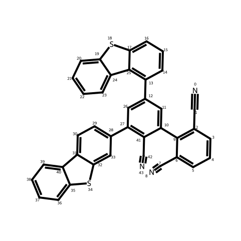 N#Cc1cccc(C#N)c1-c1cc(-c2cccc3sc4ccccc4c23)cc(-c2ccc3c(c2)sc2ccccc23)c1C#N